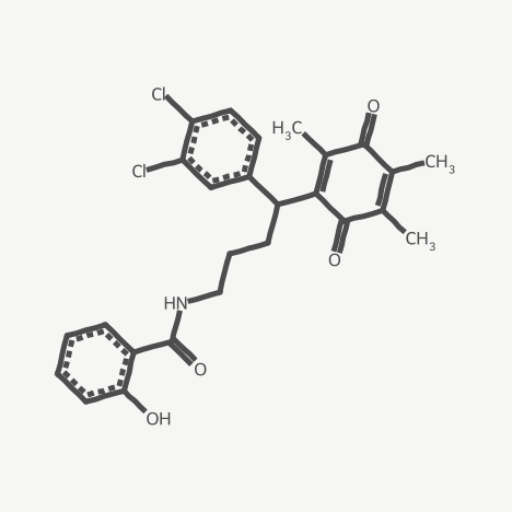 CC1=C(C)C(=O)C(C(CCCNC(=O)c2ccccc2O)c2ccc(Cl)c(Cl)c2)=C(C)C1=O